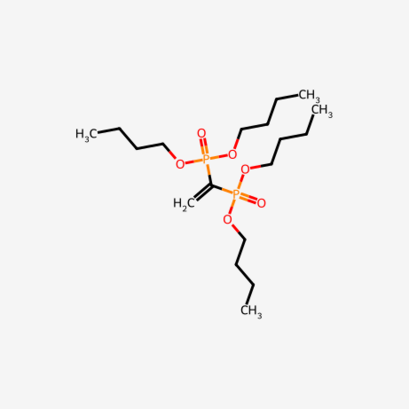 C=C(P(=O)(OCCCC)OCCCC)P(=O)(OCCCC)OCCCC